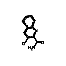 NC(=O)c1nc2[c]cccc2cc1Cl